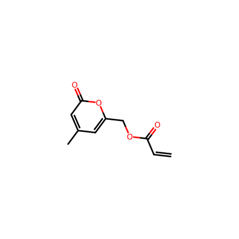 C=CC(=O)OCc1cc(C)cc(=O)o1